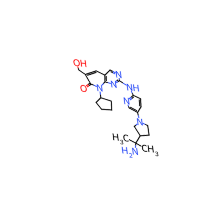 CC(C)(N)C1CCN(c2ccc(Nc3ncc4cc(CO)c(=O)n(C5CCCC5)c4n3)nc2)C1